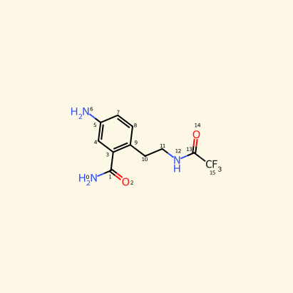 NC(=O)c1cc(N)ccc1CCNC(=O)C(F)(F)F